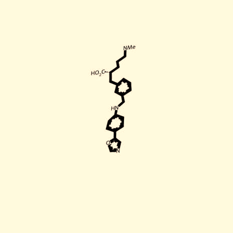 CNCCC[C@H](Cc1cccc(CNc2ccc(-c3cnco3)cc2)c1)C(=O)O